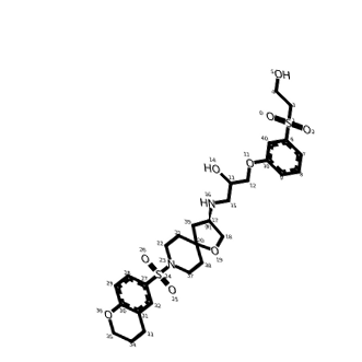 O=S(=O)(CCO)c1cccc(OCC(O)CN[C@H]2COC3(CCN(S(=O)(=O)c4ccc5c(c4)CCCO5)CC3)C2)c1